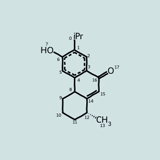 CC(C)c1cc2c(cc1O)C1CCC[C@@H](C)C1=CC2=O